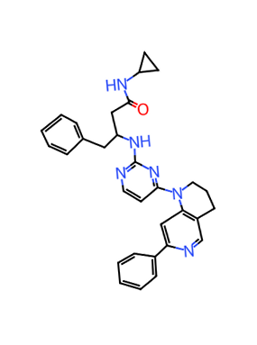 O=C(CC(Cc1ccccc1)Nc1nccc(N2CCCc3cnc(-c4ccccc4)cc32)n1)NC1CC1